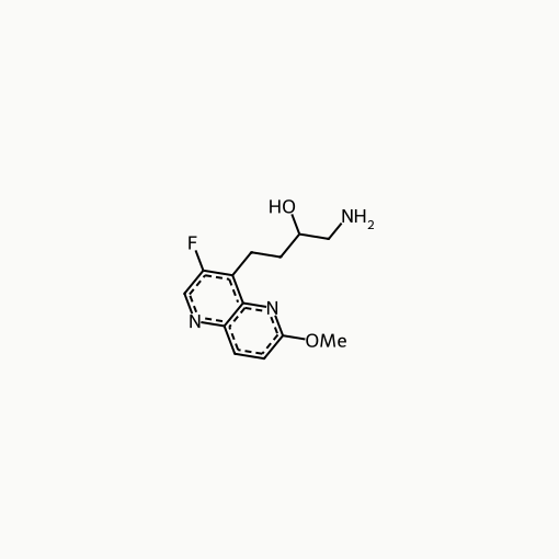 COc1ccc2ncc(F)c(CCC(O)CN)c2n1